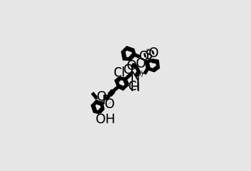 CCOP(=O)(C#Cc1cc(Cl)c(C(=O)N[C@@H](Cc2cccc(S(C)(=O)=O)c2)C(=O)OCc2ccccc2)c(Cl)c1)c1cccc(O)c1